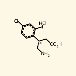 Cl.NC[C@H](CC(=O)O)c1ccc(Cl)cc1I